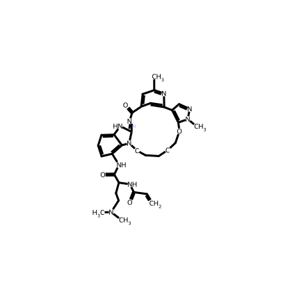 C=CC(=O)NC(CCN(C)C)C(=O)Nc1cccc2c1N1CCCCCOc3c(cnn3C)-c3cc(cc(C)n3)C(=O)/N=C/1N2